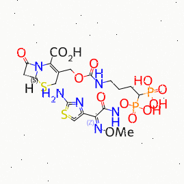 CO/N=C(\C(=O)NOP(=O)(O)C(CCCNC(=O)OCC1=C(C(=O)O)N2C(=O)C[C@@H]2SC1)P(=O)(O)O)c1csc(N)n1